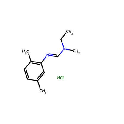 CCN(C)/C=N/c1cc(C)ccc1C.Cl